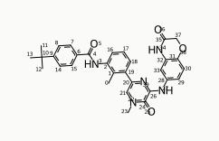 Cc1c(NC(=O)c2ccc(C(C)(C)C)cc2)cccc1-c1cn(C)c(=O)c(Nc2ccc3c(c2)NC(=O)CO3)n1